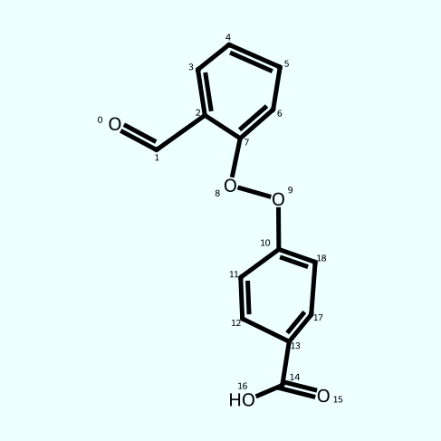 O=Cc1ccccc1OOc1ccc(C(=O)O)cc1